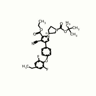 CCOC(=O)c1c(C#N)c(-c2ccc(Oc3c(F)cc(CC)cc3F)cc2)cn1[C@@H]1CCN(C(=O)OC(C)(C)C)C1